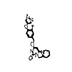 Cn1cc(Oc2ccc(COc3cc4n(c(=O)n3)CC3CCCCN43)cc2F)cn1